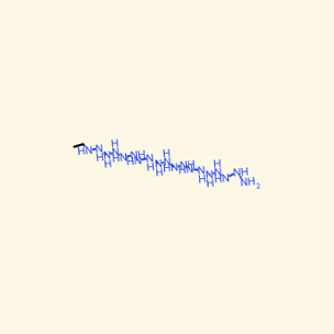 CCNNNNNNNNNNNNNNNNNNN